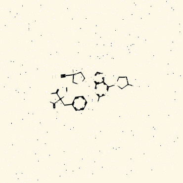 C#C[C@@]1(O)[C@@H](COC(Cc2ccccc2)(C(=O)O)C(=O)O)O[C@@H](n2cnc3c(N4CCC(O)C4)nc(Cl)nc32)[C@@H]1O